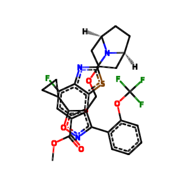 COC(=O)c1cc(F)c2nc(N3[C@@H]4CC[C@H]3CC(OCc3c(-c5ccccc5OC(F)(F)F)noc3C3CC3)C4)sc2c1